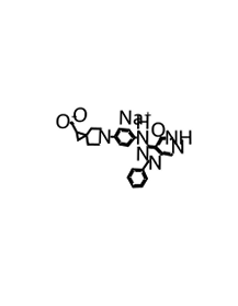 O=C([O-])C1CC12CCN(c1ccc(Nc3nc(-c4ccccc4)nc4cn[nH]c(=O)c34)cc1)CC2.[Na+]